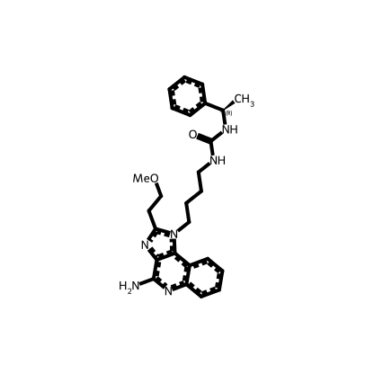 COCCc1nc2c(N)nc3ccccc3c2n1CCCCNC(=O)N[C@H](C)c1ccccc1